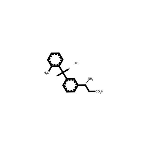 Cc1ccccc1C(F)(F)c1cccc([C@H](N)CC(=O)O)c1.Cl